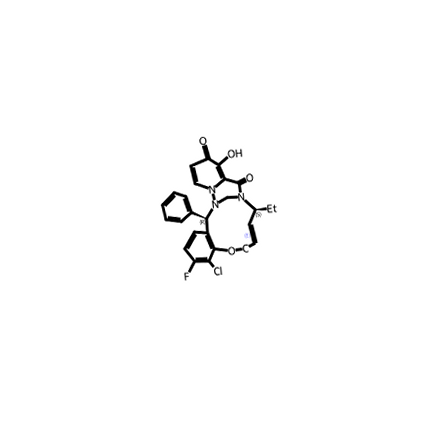 CC[C@H]1/C=C/COc2c(ccc(F)c2Cl)[C@@H](c2ccccc2)N2CN1C(=O)c1c(O)c(=O)ccn12